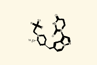 CCC(F)(F)CN1CC[C@@H](Cc2ccn3ncc(N4CCC(=O)NC4=O)c3c2)C[C@@H]1C